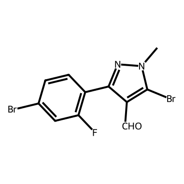 Cn1nc(-c2ccc(Br)cc2F)c(C=O)c1Br